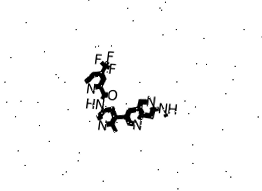 CNc1cc2ncc(-c3cc(NC(=O)c4cc(C(F)(F)F)ccn4)cnc3C)cc2cn1